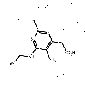 CC(C)CNc1nc(Cl)nc(CC(=O)O)c1N